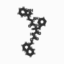 CC(Cc1ccccc1)(NC(=O)[C@@H](N)Cc1c[nH]c2ccccc12)C(=O)NC(=O)OCc1cccc2ccccc12